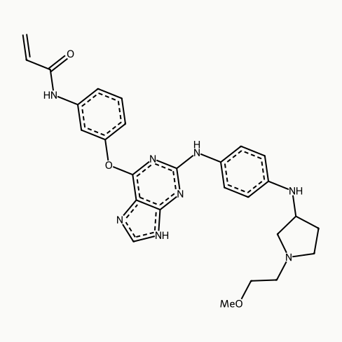 C=CC(=O)Nc1cccc(Oc2nc(Nc3ccc(NC4CCN(CCOC)C4)cc3)nc3[nH]cnc23)c1